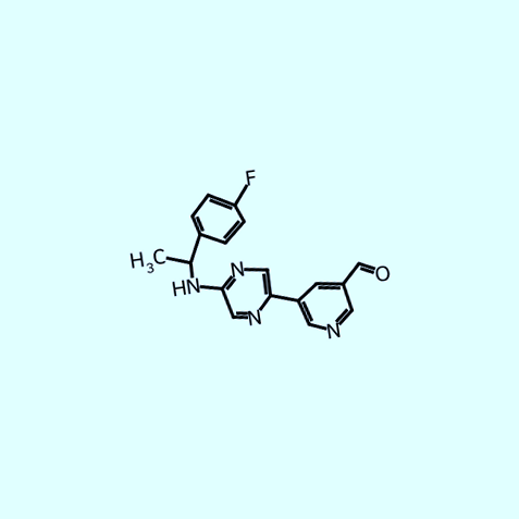 CC(Nc1cnc(-c2cncc(C=O)c2)cn1)c1ccc(F)cc1